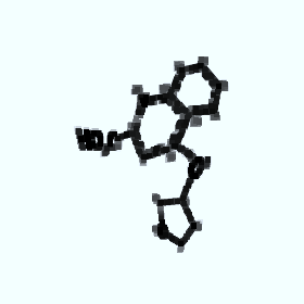 O=C(O)c1cc(OC2CCOC2)c2ccccc2n1